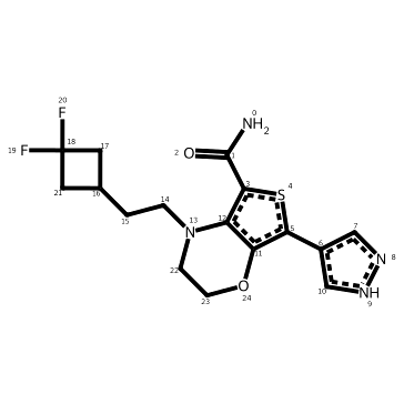 NC(=O)c1sc(-c2cn[nH]c2)c2c1N(CCC1CC(F)(F)C1)CCO2